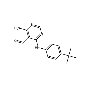 CC(C)(C)c1ccc(Nc2ncnc(N)c2C=O)cc1